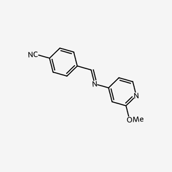 COc1cc(N=Cc2ccc(C#N)cc2)ccn1